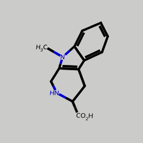 Cn1c2c(c3ccccc31)CC(C(=O)O)NC2